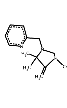 C=C1N(C)CN(Cc2ccccn2)C1(C)C